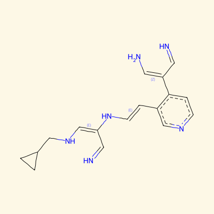 N=C/C(=C\N)c1ccncc1/C=C/N/C(C=N)=C/NCC1CC1